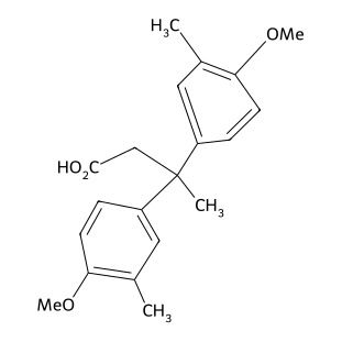 COc1ccc(C(C)(CC(=O)O)c2ccc(OC)c(C)c2)cc1C